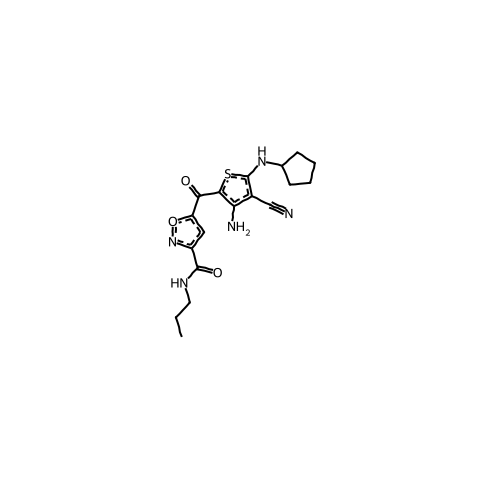 CCCNC(=O)c1cc(C(=O)c2sc(NC3CCCC3)c(C#N)c2N)on1